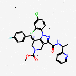 COC(=O)N1C/C(=C\c2ccc(F)cc2)c2c(c(C(=O)NC(C)c3ccccn3)nn2-c2ccc(Cl)cc2Cl)C1